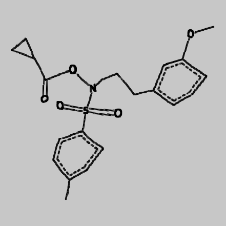 COc1cccc(CCN(OC(=O)C2CC2)S(=O)(=O)c2ccc(C)cc2)c1